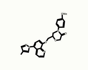 COc1ccc(N2CC(COc3ccc(-n4cc(C)cn4)c4cccnc34)OCC2=O)cc1